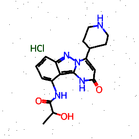 CC(O)C(=O)Nc1cccc2nn3c(C4CCNCC4)cc(=O)[nH]c3c12.Cl